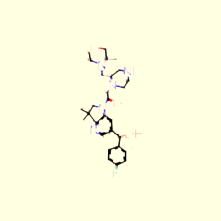 C[C@@H]1CN(CC(=O)N2CC(C)(C)c3ncc([C@H](O)c4ccc(F)cc4)cc32)[C@@H](CN2[C@H](C)COC[C@H]2C)CN1